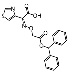 O=C(CON=C(C(=O)O)c1cscn1)OC(c1ccccc1)c1ccccc1